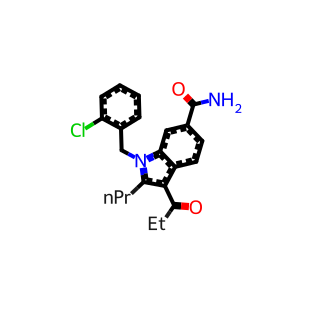 CCCc1c(C(=O)CC)c2ccc(C(N)=O)cc2n1Cc1ccccc1Cl